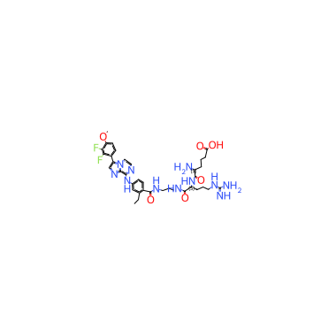 CCc1cc(Nc2nccn3c(-c4ccc(OC)c(F)c4F)cnc23)ccc1C(=O)NCCCNC(=O)[C@H](CCCNC(=N)N)NC(=O)[C@@H](N)CCCC(=O)O